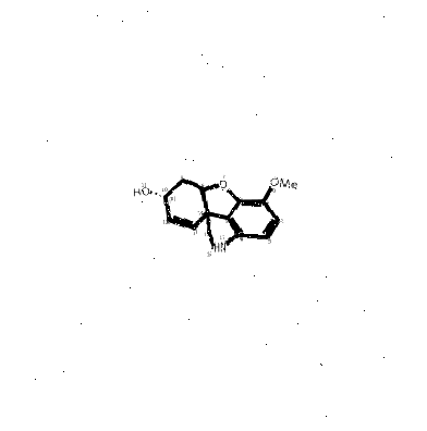 COc1ccc2c3c1OC1C[C@@H](O)C=CC31CCN2